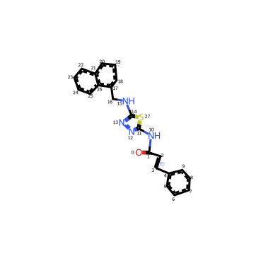 O=C(/C=C/c1ccccc1)Nc1nnc(NCc2cccc3ccccc23)s1